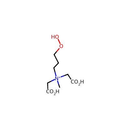 C[N+](CCCOO)(CC(=O)O)CC(=O)O